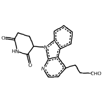 O=CCCc1ccnc2c1c1ccccc1n2C1CCC(=O)NC1=O